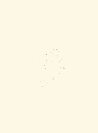 C[C@@H]1CN(Cc2ccc(F)cc2)CCN1C(=O)C=Cc1ccc(Cl)cc1CN1C(=O)CN(C)C1=O